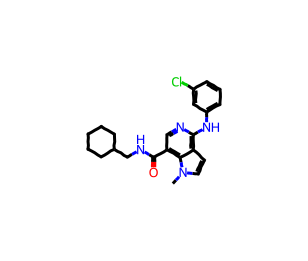 Cn1ccc2c(Nc3cccc(Cl)c3)ncc(C(=O)NCC3CCCCC3)c21